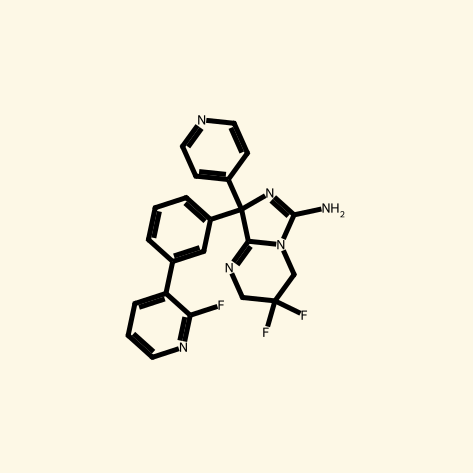 NC1=NC(c2ccncc2)(c2cccc(-c3cccnc3F)c2)C2=NCC(F)(F)CN12